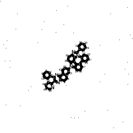 c1ccc(-c2nc3c(ccc4cc(-n5c6cccc7c8ccccc8n8c(-c9ccccc9)nc9ccc5c(c76)c98)ccc43)nc2-c2ccccn2)cc1